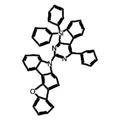 c1ccc(-c2nc(-n3c4ccccc4c4c5oc6ccccc6c5ccc43)nc3c2-c2ccccc2[Si]3(c2ccccc2)c2ccccc2)cc1